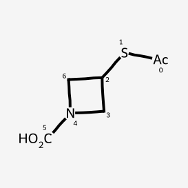 CC(=O)SC1CN(C(=O)O)C1